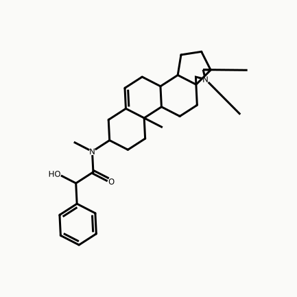 CC1C2CCC3C4CC=C5CC(N(C)C(=O)C(O)c6ccccc6)CCC5(C)C4CCC32CN1C